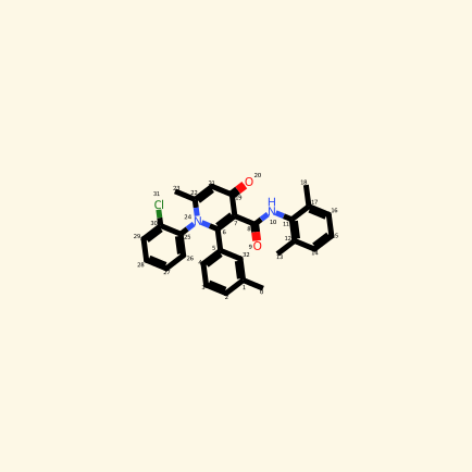 Cc1cccc(-c2c(C(=O)Nc3c(C)cccc3C)c(=O)cc(C)n2-c2ccccc2Cl)c1